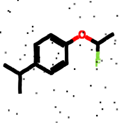 CC(F)Oc1ccc(C(C)C)cc1